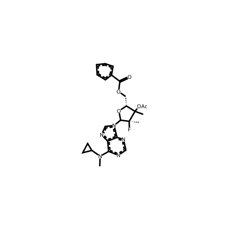 CC(=O)OC1(C)[C@@H](COC(=O)c2ccccc2)OC(n2cnc3c(N(C)C4CC4)ncnc32)[C@]1(C)F